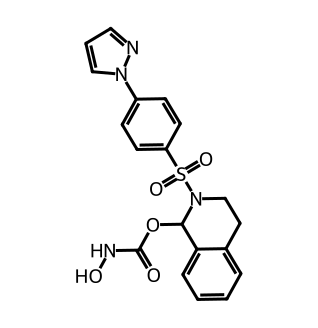 O=C(NO)OC1c2ccccc2CCN1S(=O)(=O)c1ccc(-n2cccn2)cc1